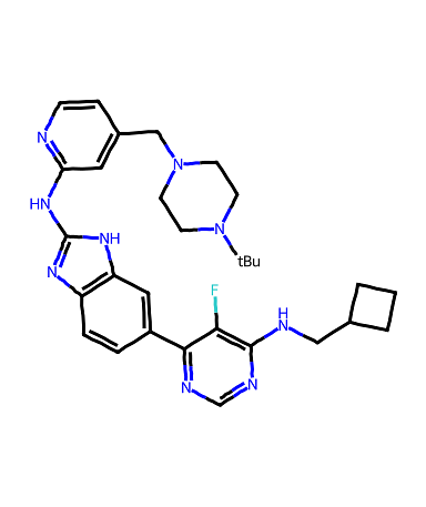 CC(C)(C)N1CCN(Cc2ccnc(Nc3nc4ccc(-c5ncnc(NCC6CCC6)c5F)cc4[nH]3)c2)CC1